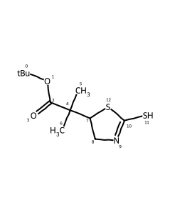 CC(C)(C)OC(=O)C(C)(C)C1CN=C(S)S1